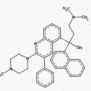 CN(C)CCC(O)(c1cccc2ccccc12)c1cccc2nc(N3CCN(C)CC3)c(-c3ccccc3)cc12